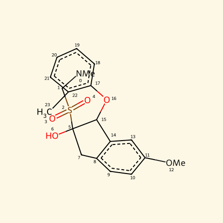 CNCS(=O)(=O)C1(O)Cc2ccc(OC)cc2C1Oc1ccccc1C